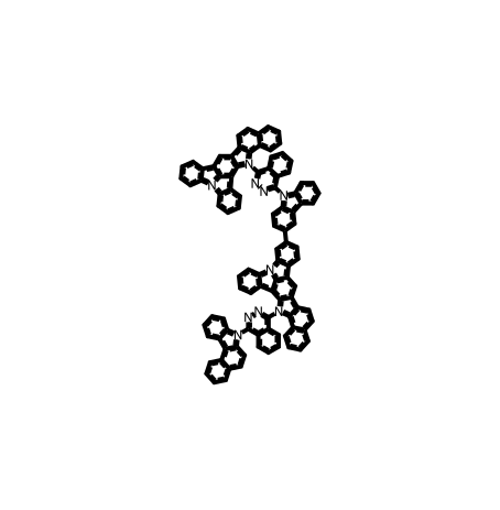 c1ccc2c(c1)ccc1c2c2ccccc2n1-c1nnc(-n2c3c4ccccc4ccc3c3cc4c5ccc(-c6ccc7c(c6)c6ccccc6n7-c6nnc(-n7c8c9ccccc9ccc8c8cc9c%10ccccc%10n%10c%11ccccc%11c(c87)c9%10)c7ccccc67)cc5n5c6ccccc6c(c32)c45)c2ccccc12